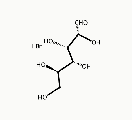 Br.O=C[C@H](O)[C@@H](O)[C@H](O)[C@H](O)CO